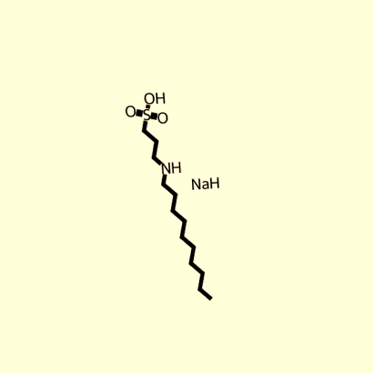 CCCCCCCCCCNCCCS(=O)(=O)O.[NaH]